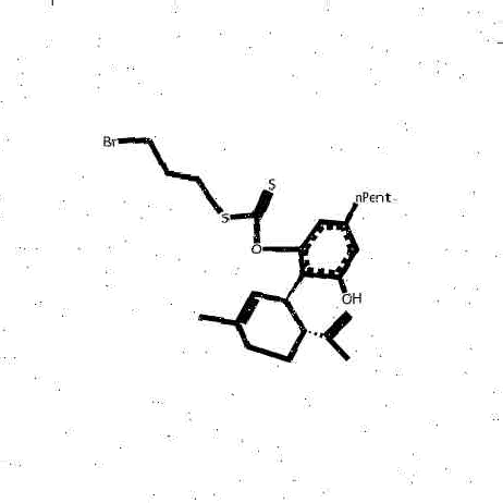 C=C(C)[C@@H]1CCC(C)=C[C@H]1c1c(O)cc(CCCCC)cc1OC(=S)SCCCBr